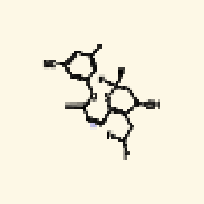 C=C(/C=C\C1=C(CC(F)F)C(O)CC(F)(F)S1)Oc1cc(C)cc(C#N)c1